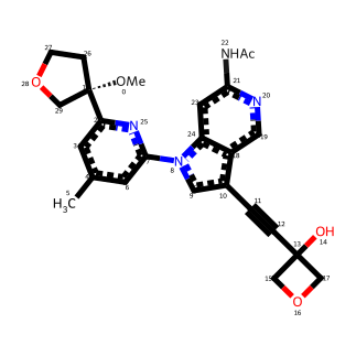 CO[C@@]1(c2cc(C)cc(-n3cc(C#CC4(O)COC4)c4cnc(NC(C)=O)cc43)n2)CCOC1